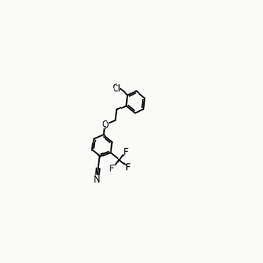 N#Cc1ccc(OCCc2ccccc2Cl)cc1C(F)(F)F